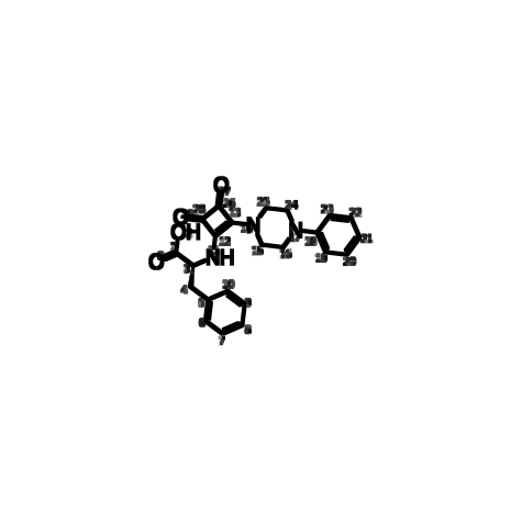 O=C(O)[C@H](Cc1ccccc1)Nc1c(N2CCN(c3ccccc3)CC2)c(=O)c1=O